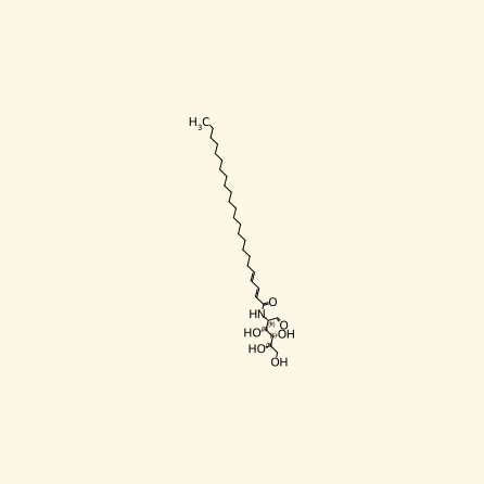 CCCCCCCCCCCCCCCCCCCC=CC=CC(=O)N[C@@H](C=O)[C@@H](O)[C@H](O)[C@H](O)CO